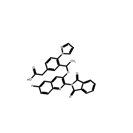 CC(Oc1cc2cc(F)ccc2nc1N1C(=O)c2ccccc2C1=O)c1cc(CC(=O)O)ccc1-n1cccn1